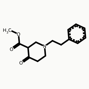 COC(=O)C1CN(CCc2ccccc2)CCC1=O